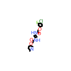 Cc1ccc(OCC(=O)NC23CC(NC(=O)COc4ccc(Cl)c(F)c4)(C2)C3)cn1